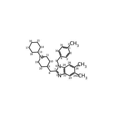 Cc1ccc(Cn2c(CC3CCN(C4CCCCC4)CC3)nc3cc(C)c(C)cc32)cc1